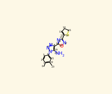 Cc1ccc(-n2nnc(-c3nc(C4=CCCS4)no3)c2N)cc1C